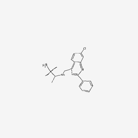 CC(NCc1cc(-c2ccccc2)nc2cc(Cl)ccc12)C(C)(C)N